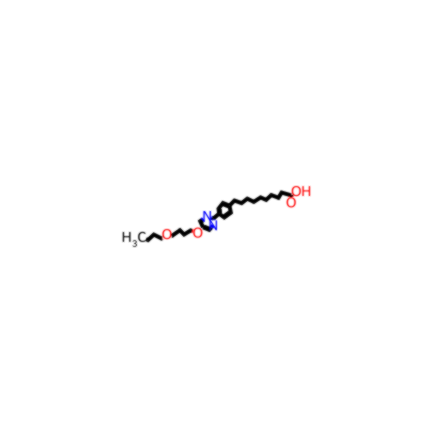 CCCCOCCCCOc1cnc(-c2ccc(CCCCCCCCCC(=O)O)cc2)nc1